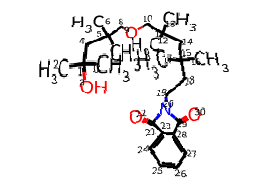 CC(C)(O)CC(C)(C)COCC(C)(C)CC(C)(C)CCN1C(=O)c2ccccc2C1=O